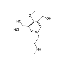 CNCCc1cc(CO)c(OC)c(CO)c1.Cl